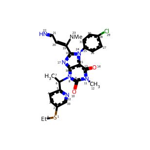 CCSc1ccc(C(C)n2c(=O)n(C)c(=O)c3c2nc(/C(=C/C=N)NC)n3-c2ccc(Cl)cc2)nc1